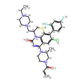 C=CC(=O)N1CCN(c2nc(=O)n3c4c(c(-c5ccc(F)cc5F)c(Cl)cc24)SCC3CN2CCN(CC)CC2)[C@@H](C)C1